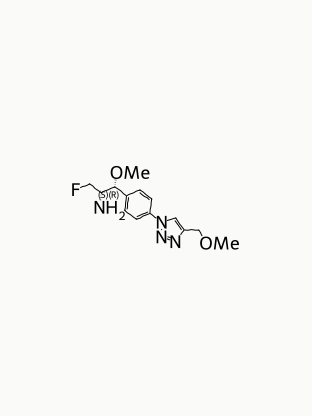 COCc1cn(-c2ccc([C@@H](OC)[C@H](N)CF)cc2)nn1